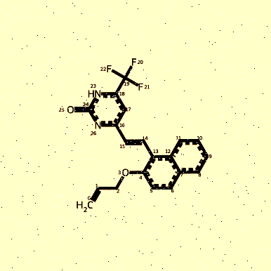 C=CCOc1ccc2ccccc2c1C=Cc1cc(C(F)(F)F)[nH]c(=O)n1